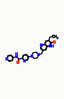 CCc1cc2ncc(CN3CCN(c4ccc(C(=O)Nc5ccncc5)nc4)CC3)cc2[nH]c1=O